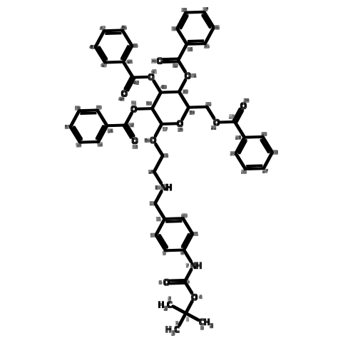 CC(C)(C)OC(=O)Nc1ccc(CNCCOC2OC(COC(=O)c3ccccc3)C(OC(=O)c3ccccc3)C(OC(=O)c3ccccc3)C2OC(=O)c2ccccc2)cc1